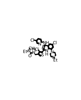 CCN1CCN(c2cc(Cl)cc(C(=O)Nc3ccc(Cl)cn3)c2NC(=O)c2scc(CNC(=O)N(C)CC)c2Cl)CC1